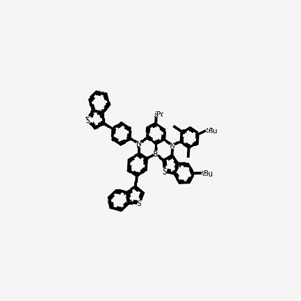 Cc1cc(C(C)(C)C)cc(C)c1N1c2cc(C(C)C)cc3c2B(c2cc(-c4csc5ccccc45)ccc2N3c2ccc(-c3csc4ccccc34)cc2)c2sc3ccc(C(C)(C)C)cc3c21